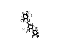 N[C@H]1CC(COc2cc(C(F)(F)F)ccc2Cl)=CC[C@@H]1c1cc(F)c(F)cc1F